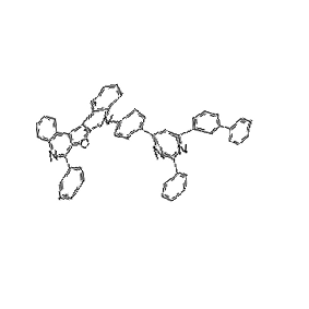 c1ccc(-c2cccc(-c3cc(-c4ccc(-n5c6ccccc6c6c7c(oc65)c(-c5ccccc5)nc5ccccc57)cc4)nc(-c4ccccc4)n3)c2)cc1